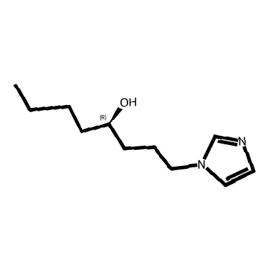 CCCC[C@@H](O)CCCn1ccnc1